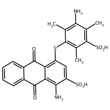 Cc1c(N)c(C)c(S(=O)(=O)O)c(C)c1Sc1cc(S(=O)(=O)O)c(N)c2c1C(=O)c1ccccc1C2=O